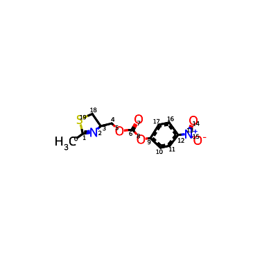 CC1=NC(COC(=O)Oc2ccc([N+](=O)[O-])cc2)CS1